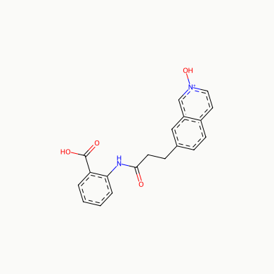 O=C(CCc1ccc2cc[n+](O)cc2c1)Nc1ccccc1C(=O)O